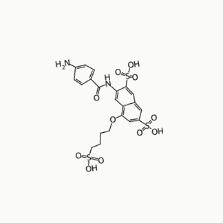 Nc1ccc(C(=O)Nc2cc3c(OCCCCS(=O)(=O)O)cc(S(=O)(=O)O)cc3cc2S(=O)(=O)O)cc1